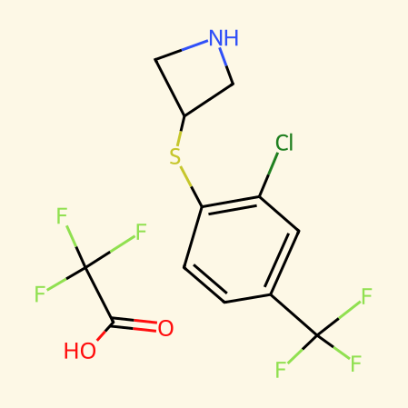 FC(F)(F)c1ccc(SC2CNC2)c(Cl)c1.O=C(O)C(F)(F)F